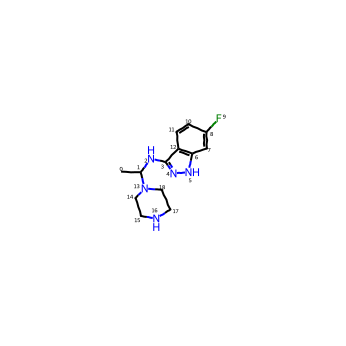 CC(Nc1n[nH]c2cc(F)ccc12)N1CCNCC1